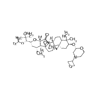 CCC(=O)O[C@@H]([C@H]1C[C@@H](C)[C@H]2[C@H](O1)C(=O)[C@@]1(C)[C@@H]3CC[C@H]4C(C)(C)[C@@H](O[C@H]5CN(C6COC6)CCO5)CC[C@@]45C[C@@]35CC[C@]21C)C(C)(C)O